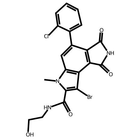 Cn1c(C(=O)NCCO)c(Br)c2c3c(c(-c4ccccc4Cl)cc21)C(=O)NC3=O